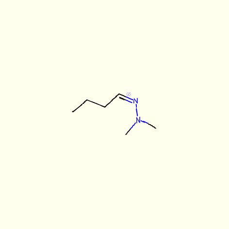 CCC/C=N\N(C)C